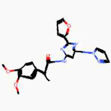 COc1ccc(C(C)C(=O)Nc2cc(-n3cccn3)nc(-c3ccco3)n2)cc1OC